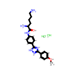 Cl.Cl.NCCCCC(N)C(=O)Nc1ccc(-c2nc(-c3ccc(OC(F)(F)F)cc3)n[nH]2)cc1